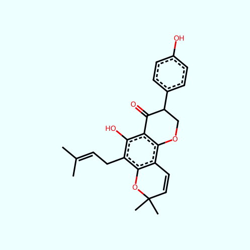 CC(C)=CCc1c(O)c2c(c3c1OC(C)(C)C=C3)OCC(c1ccc(O)cc1)C2=O